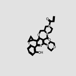 C=CC(=O)N1CCN2C(=O)c3c(N4CCOCC4)nc(-c4c(O)cccc4F)c(C4CC4)c3OCC2C1